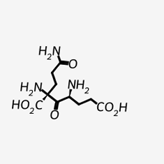 NC(=O)CC[C@](N)(C(=O)O)C(=O)[C@@H](N)CCC(=O)O